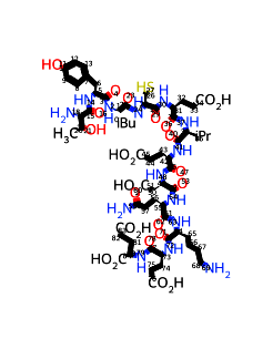 CC[C@H](C)[C@H](NC(=O)[C@H](Cc1ccc(O)cc1)NC(=O)[C@@H](N)[C@@H](C)O)C(=O)N[C@@H](CS)C(=O)N[C@@H](CCC(=O)O)C(=O)N[C@H](C(=O)N[C@@H](CCC(=O)O)C(=O)N[C@@H](CC(=O)O)C(=O)N[C@@H](CCC(N)=O)C(=O)N[C@@H](CCCCN)C(=O)N[C@@H](CCC(=O)O)C(=O)N[C@@H](CCC(=O)O)C(=O)O)C(C)C